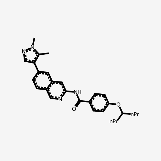 CCCC(CCC)Oc1ccc(C(=O)Nc2cc3cc(-c4cnn(C)c4C)ccc3cn2)cc1